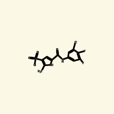 Cc1[nH]c(C(=O)Nc2cc(F)c(F)c(Cl)c2)cc1S(=O)(=O)Cl